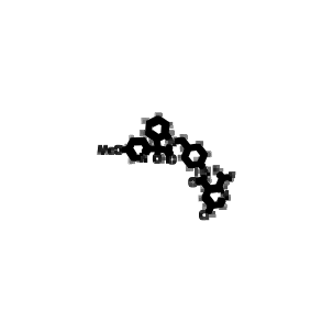 COc1ccc(C2(O)C(=O)N(CC3CCC(NC(=O)c4cc(Cl)cnc4C(F)F)CC3)c3ccccc32)nc1